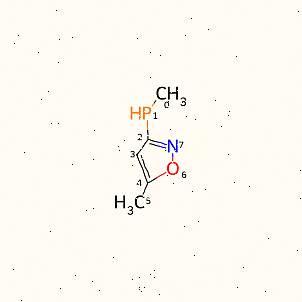 CPc1cc(C)on1